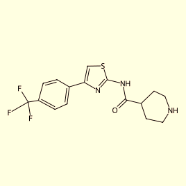 O=C(Nc1nc(-c2ccc(C(F)(F)F)cc2)cs1)C1CCNCC1